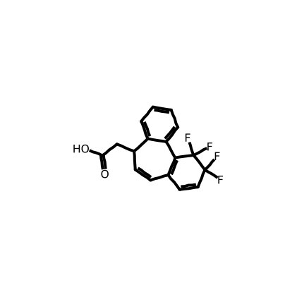 O=C(O)CC1C=CC2=C(c3ccccc31)C(F)(F)C(F)(F)C=C2